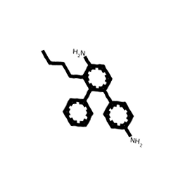 CCCCc1c(N)ccc(-c2ccc(N)cc2)c1-c1ccccc1